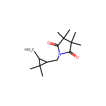 CC1(C)C(CN2C(=O)C(C)(C)C(C)(C)C2=O)C1C(=O)O